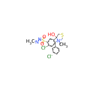 CN=NS(=O)(=O)c1cc(C2(O)CSC[N+]2(C)Cc2ccccc2)ccc1Cl.[Cl-]